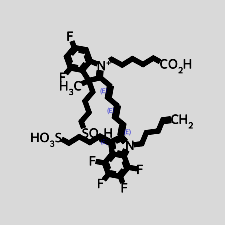 C=CCCCn1c(=C/C=C/C=C/C2=[N+](CCCCCC(=O)O)c3cc(F)cc(F)c3C2(C)CCCCS(=O)(=O)O)/c(=C/CCCS(=O)(=O)O)c2c(F)c(F)c(F)c(F)c21